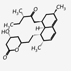 CC[C@H](C)C(=O)C[C@H]1C[C@@H](C)C=C2C=C[C@H](C)[C@H](CCC3C[C@@H](O)CC(=O)O3)[C@H]21